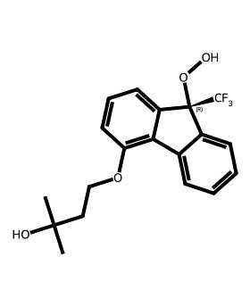 CC(C)(O)CCOc1cccc2c1-c1ccccc1[C@]2(OO)C(F)(F)F